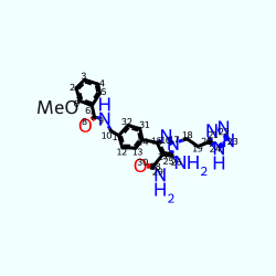 COc1ccccc1C(=O)NCc1ccc(-c2nn(CCc3nnn[nH]3)c(N)c2C(N)=O)cc1